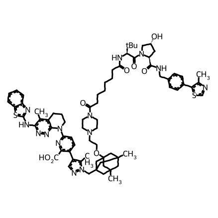 Cc1ncsc1-c1ccc(CNC(=O)[C@@H]2C[C@@H](O)CN2C(=O)[C@@H](NC(=O)CCCCCCC(=O)N2CCN(CCOC34CC5(C)CC(C)(CC(Cn6ncc(-c7ccc(N8CCCc9c8nnc(Nc8nc%10ccccc%10s8)c9C)nc7C(=O)O)c6C)(C5)C3)C4)CC2)C(C)(C)C)cc1